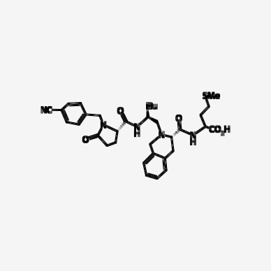 CC[C@H](C)[C@@H](CN1Cc2ccccc2C[C@H]1C(=O)NC(CCSC)C(=O)O)NC(=O)[C@@H]1CCC(=O)N1Cc1ccc(C#N)cc1